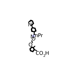 CCC/C(=N\OCCOc1cccc(CC(=O)O)c1C)c1ccc(-c2ccccn2)cc1